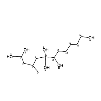 CC(CC(O)O)CC(O)(O)C(O)CCCCCO